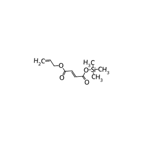 C=CCOC(=O)C=CC(=O)O[Si](C)(C)C